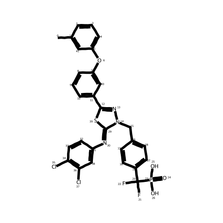 Cc1cccc(Oc2cccc(-c3nn(Cc4ccc(C(F)(F)P(=O)(O)O)cc4)c(=Nc4ccc(Cl)c(Cl)c4)s3)c2)c1